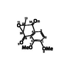 COc1ccc2c(c1OC)C(=O)C1OC1(C)C2=O